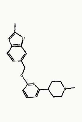 Cc1nc2ccc(COc3cccc(C4CCN(C)CC4)n3)cc2o1